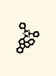 c1ccc(-c2nc(-c3ccccc3)nc(-c3ccc4c5c(cc6ccccc6c35)-c3ccccc3-4)n2)cc1